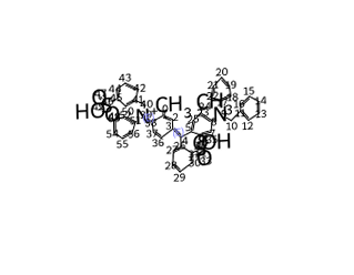 CC1=CC(=C(\c2ccc(N(Cc3ccccc3)c3ccccc3)c(C)c2)c2ccccc2S(=O)(=O)O)/C=CC/1=[N+](/Cc1cccc(S(=O)(=O)O)c1)c1ccccc1